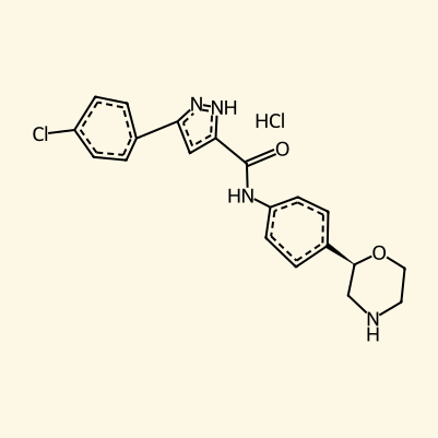 Cl.O=C(Nc1ccc([C@@H]2CNCCO2)cc1)c1cc(-c2ccc(Cl)cc2)n[nH]1